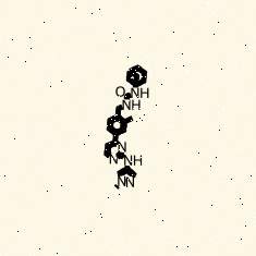 Cc1cc(-c2ccnc(Nc3cnn(C)c3)n2)ccc1CNC(=O)NC12CCC=C(C1)C2